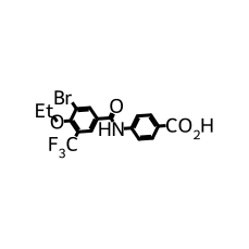 CCOc1c(Br)cc(C(=O)Nc2ccc(C(=O)O)cc2)cc1C(F)(F)F